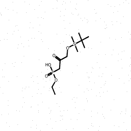 CCOP(=O)(O)CC(=O)CO[Si](C)(C)C(C)(C)C